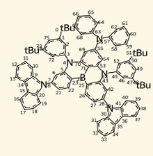 CC(C)(C)c1cc(N2c3cc(-n4c5ccccc5c5ccccc54)ccc3B3c4ccc(-n5c6ccccc6c6ccccc65)cc4N(c4cc(C(C)(C)C)cc(C(C)(C)C)c4)c4cc(N(c5ccccc5)c5ccccc5)cc2c43)cc(C(C)(C)C)c1